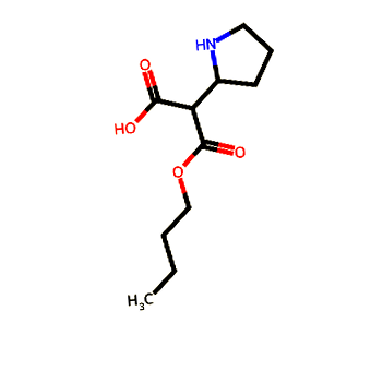 CCCCOC(=O)C(C(=O)O)C1CCCN1